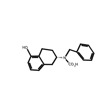 O=C(O)N(Cc1ccccc1)[C@H]1CCc2c(O)cccc2C1